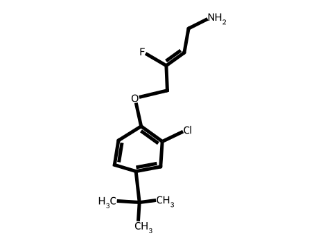 CC(C)(C)c1ccc(OCC(F)=CCN)c(Cl)c1